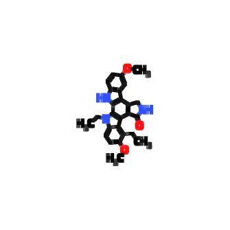 CCc1c(OC)ccc2c1c1c3c(c4c5cc(OC)ccc5[nH]c4c1n2CC)CNC3=O